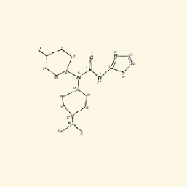 CC1CCC(N(C(=O)Nc2nccs2)C2CCC(C(C)C)CC2)CC1